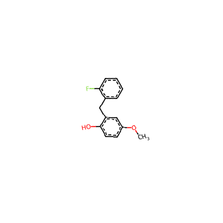 COc1ccc(O)c(Cc2ccccc2F)c1